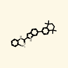 CC1(C)CCC(C)(C)c2cc(-c3ccc4cc(C(=O)Nc5ccccc5N)[nH]c4c3)ccc21